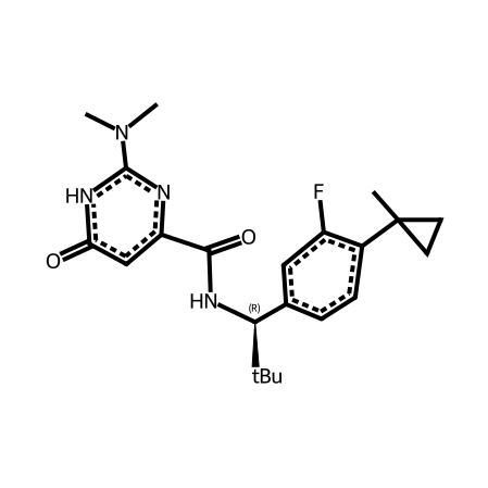 CN(C)c1nc(C(=O)N[C@@H](c2ccc(C3(C)CC3)c(F)c2)C(C)(C)C)cc(=O)[nH]1